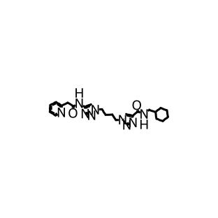 O=C(Cc1ccccn1)Nc1cn(CCCCn2cc(C(=O)NCC3CCCCC3)nn2)nn1